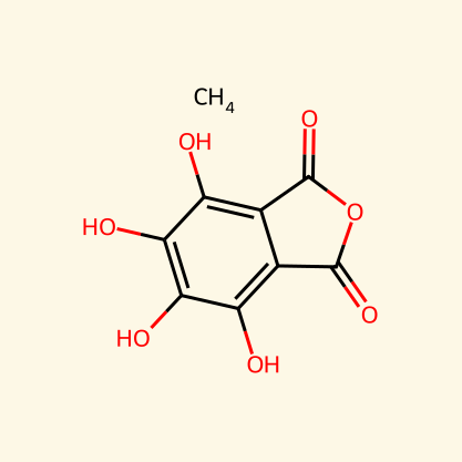 C.O=C1OC(=O)c2c(O)c(O)c(O)c(O)c21